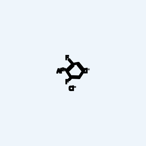 Fc1cccc(F)[c]1[Al+2].[Cl-].[Cl-]